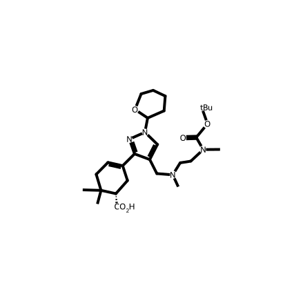 CN(CCN(C)C(=O)OC(C)(C)C)Cc1cn(C2CCCCO2)nc1C1=CCC(C)(C)[C@@H](C(=O)O)C1